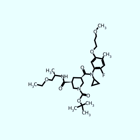 CCOC[C@@H](C)NC(=O)[C@H]1C[C@@H](C(=O)N(c2cc(OCCCOC)c(C)cc2F)C2CC2)CN(C(=O)OC(C)(C)C)C1